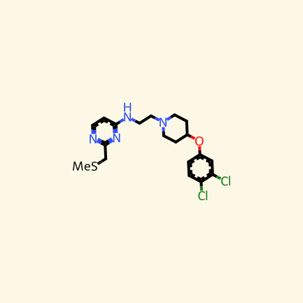 CSCc1nccc(NCCN2CCC(Oc3ccc(Cl)c(Cl)c3)CC2)n1